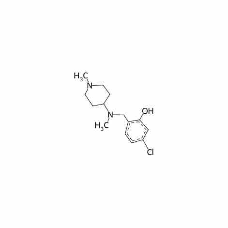 CN1CCC(N(C)Cc2ccc(Cl)cc2O)CC1